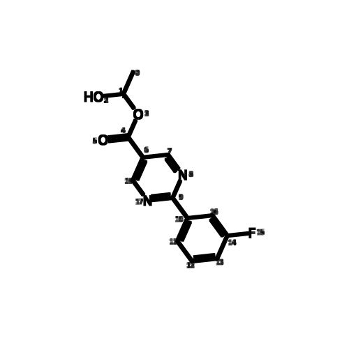 C[C](O)OC(=O)c1cnc(-c2cccc(F)c2)nc1